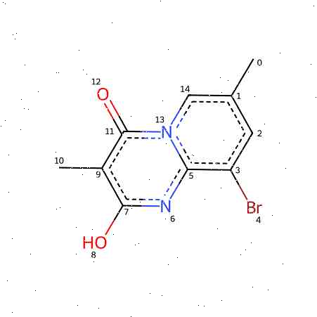 Cc1cc(Br)c2nc(O)c(C)c(=O)n2c1